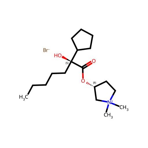 CCCCC[C@@](O)(C(=O)O[C@@H]1CC[N+](C)(C)C1)C1CCCC1.[Br-]